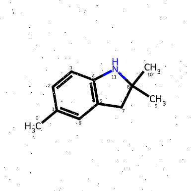 Cc1ccc2c(c1)CC(C)(C)N2